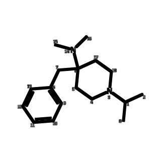 CC(C)N1CCC(Cc2ccccc2)(N(C)C)CC1